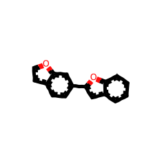 [c]1cccc2cc(-c3ccc4ccoc4c3)oc12